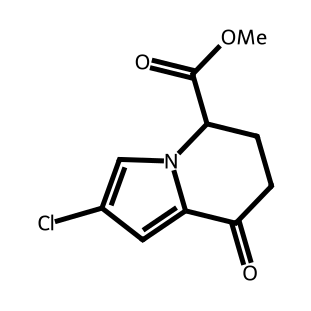 COC(=O)C1CCC(=O)c2cc(Cl)cn21